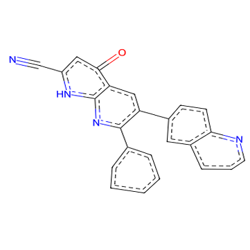 N#Cc1cc(=O)c2cc(-c3ccc4ncccc4c3)c(-c3ccccc3)nc2[nH]1